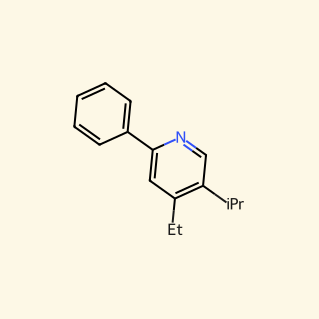 CCc1cc(-c2ccccc2)ncc1C(C)C